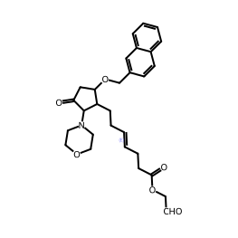 O=CCOC(=O)CC/C=C/CCC1C(OCc2ccc3ccccc3c2)CC(=O)C1N1CCOCC1